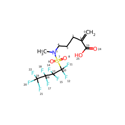 C=C(CCCN(C)S(=O)(=O)C(F)(F)C(F)(F)C(F)(F)C(F)(F)F)C(=O)O